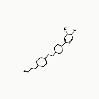 C=CCCC1CCC(CCC2CCC(c3ccc(F)c(F)c3)CC2)CC1